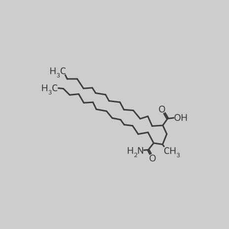 CCCCCCCCCCCCCCC(CC(C)C(CCCCCCCCCCCCCC)C(N)=O)C(=O)O